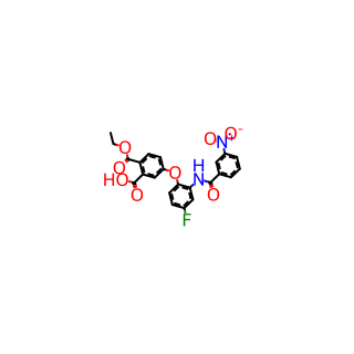 CCOC(=O)c1ccc(Oc2ccc(F)cc2NC(=O)c2cccc([N+](=O)[O-])c2)cc1C(=O)O